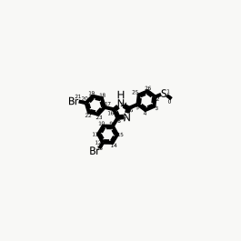 CSc1ccc(-c2nc(-c3ccc(Br)cc3)c(-c3ccc(Br)cc3)[nH]2)cc1